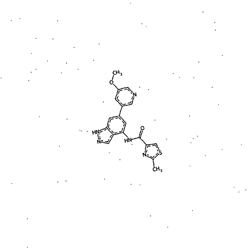 COc1cncc(-c2cc(NC(=O)c3csc(C)n3)c3cn[nH]c3c2)c1